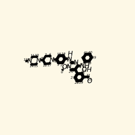 COc1cc(N2CCC(N3CCN(C)CC3)CC2)ccc1Nc1ncc(-c2cccc(C=O)c2O)c(Nc2ccccc2)n1